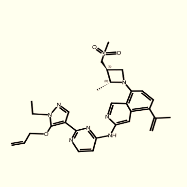 C=CCOc1c(-c2nccc(Nc3cc4c(C(=C)C)ccc(N5C[C@H](CS(C)(=O)=O)[C@H]5C)c4cn3)n2)cnn1CC